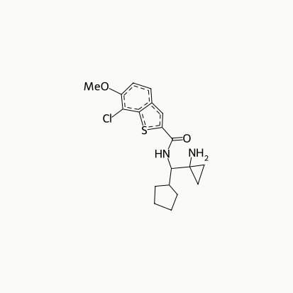 COc1ccc2cc(C(=O)NC(C3CCCC3)C3(N)CC3)sc2c1Cl